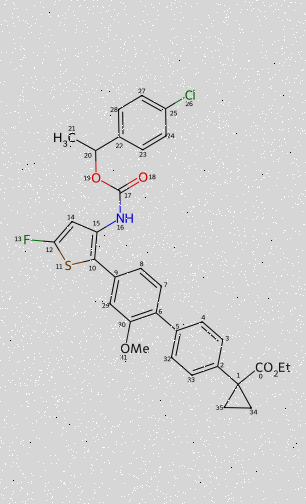 CCOC(=O)C1(c2ccc(-c3ccc(-c4sc(F)cc4NC(=O)OC(C)c4ccc(Cl)cc4)cc3OC)cc2)CC1